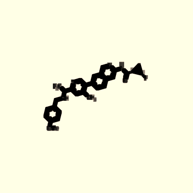 COc1ccc(CNC(c2cc(C)c(-c3ccc4cc(NC(=O)[C@@H]5C[C@@H]5F)ncc4c3)cn2)C(F)(F)F)cc1